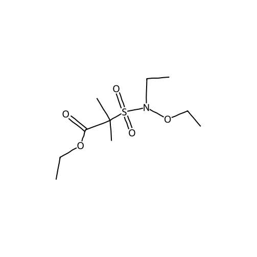 CCOC(=O)C(C)(C)S(=O)(=O)N(CC)OCC